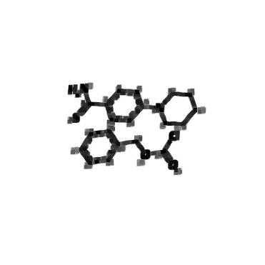 NC(=S)c1ccc(N2CCCCC2)cc1.O=C(Cl)OCc1ccccc1